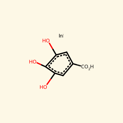 O=C(O)c1cc(O)c(O)c(O)c1.[In]